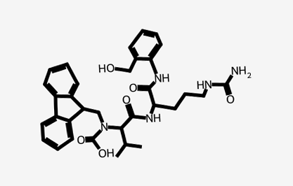 CC(C)C(C(=O)NC(CCCNC(N)=O)C(=O)Nc1ccccc1CO)N(CC1c2ccccc2-c2ccccc21)C(=O)O